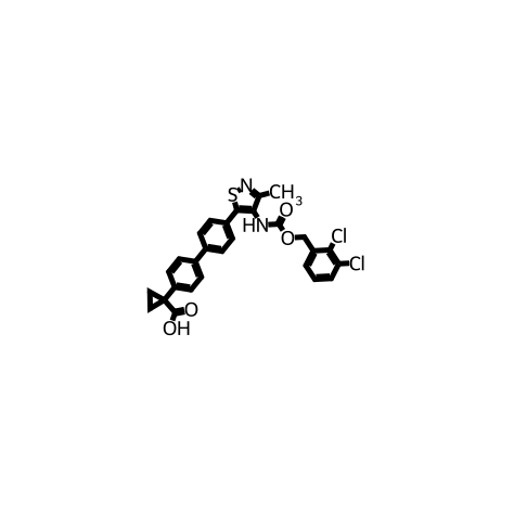 Cc1nsc(-c2ccc(-c3ccc(C4(C(=O)O)CC4)cc3)cc2)c1NC(=O)OCc1cccc(Cl)c1Cl